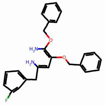 N/C(=C\C(OCc1ccccc1)=C(/N)OCc1ccccc1)Cc1cccc(F)c1